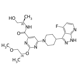 COC[C@@H](C)Oc1nc(C(=O)N[C@H](C)CO)cc(N2CCC(c3n[nH]c4nccc(F)c34)CC2)n1